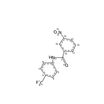 O=C(Nc1ccc(C(F)(F)F)cc1)c1cccc([N+](=O)[O-])c1